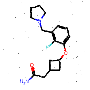 NC(=O)CC1CC(Oc2cccc(CN3CCCC3)c2F)C1